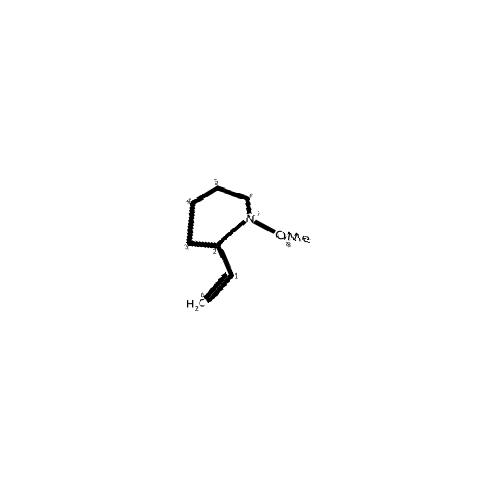 C=CC1CCCCN1OC